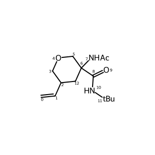 C=CC1COCC(NC(C)=O)(C(=O)NC(C)(C)C)C1